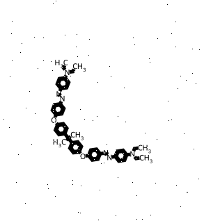 CCN(CC)c1ccc(/N=N/c2ccc(Oc3ccc(C(C)(C)c4ccc(Oc5ccc(/N=N/c6ccc(N(CC)CC)cc6)cc5)cc4)cc3)cc2)cc1